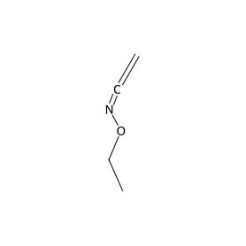 C=C=NOCC